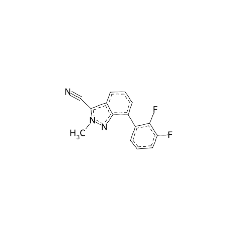 Cn1nc2c(-c3cccc(F)c3F)cccc2c1C#N